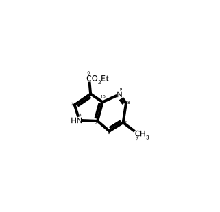 CCOC(=O)c1c[nH]c2cc(C)cnc12